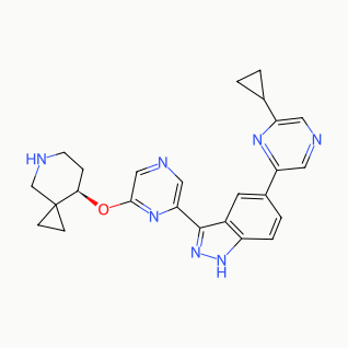 c1cc2[nH]nc(-c3cncc(O[C@@H]4CCNCC45CC5)n3)c2cc1-c1cncc(C2CC2)n1